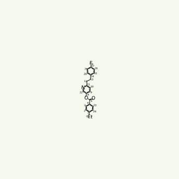 CCc1ccc(C(=O)Oc2ccc(CCc3ccc(F)cc3)nc2)cc1